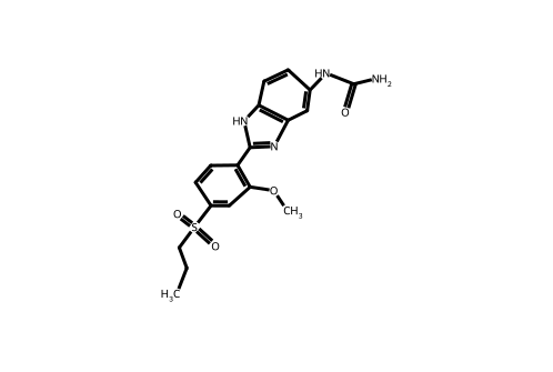 CCCS(=O)(=O)c1ccc(-c2nc3cc(NC(N)=O)ccc3[nH]2)c(OC)c1